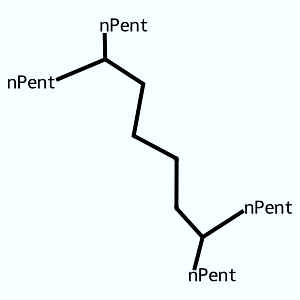 CCCCCC(CCCCC)CCCCC(CCCCC)CCCCC